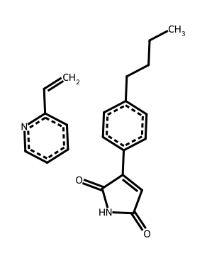 C=Cc1ccccn1.CCCCc1ccc(C2=CC(=O)NC2=O)cc1